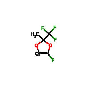 CC1(C(F)(F)F)[O][Cf]=[C](F)O1